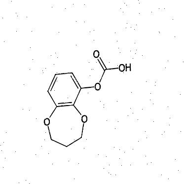 O=C(O)Oc1cccc2c1OCCCO2